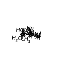 CC(C)c1ccc(B(O)O)c(OCC2CC(N=[N+]=[N-])[C@H]3CN(c4nn5c(I)cnc5s4)C[C@@H]3O2)n1